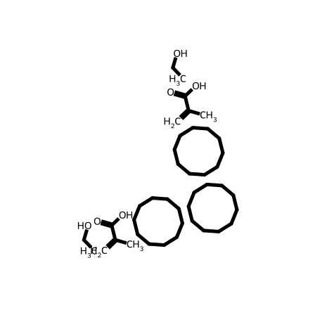 C1CCCCCCCCC1.C1CCCCCCCCC1.C1CCCCCCCCC1.C=C(C)C(=O)O.C=C(C)C(=O)O.CCO.CCO